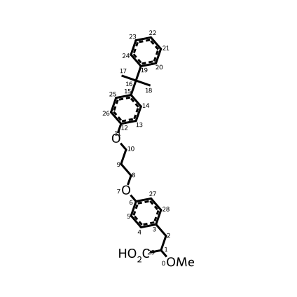 COC(Cc1ccc(OCCCOc2ccc(C(C)(C)c3ccccc3)cc2)cc1)C(=O)O